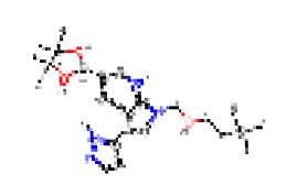 Cn1nccc1-c1cn(COCC[Si](C)(C)C)c2ncc(B3OC(C)(C)C(C)(C)O3)cc12